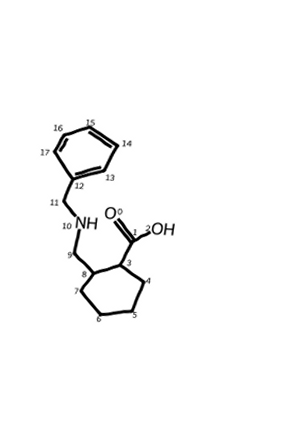 O=C(O)C1CCCCC1CNCc1ccccc1